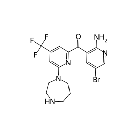 Nc1ncc(Br)cc1C(=O)c1cc(C(F)(F)F)cc(N2CCCNCC2)n1